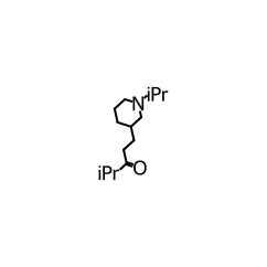 CC(C)C(=O)CCC1CCCN(C(C)C)C1